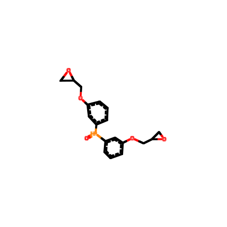 O=[PH](c1cccc(OCC2CO2)c1)c1cccc(OCC2CO2)c1